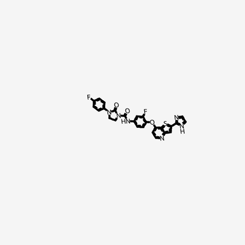 O=C(Nc1ccc(Oc2ccnc3cc(-c4ncc[nH]4)sc23)c(F)c1)N1CCN(c2ccc(F)cc2)C1=O